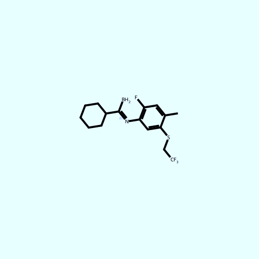 B/C(=N\c1cc(SCC(F)(F)F)c(C)cc1F)C1CCCCC1